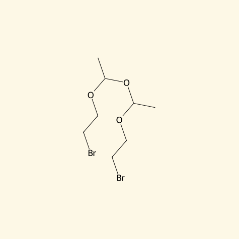 CC(OCCBr)OC(C)OCCBr